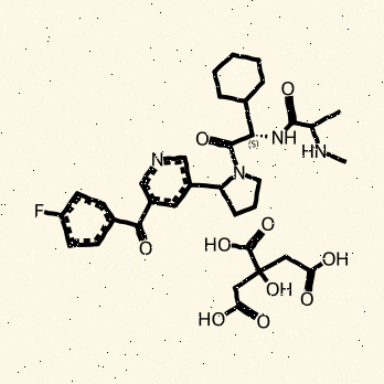 CNC(C)C(=O)N[C@H](C(=O)N1CCCC1c1cncc(C(=O)c2ccc(F)cc2)c1)C1CCCCC1.O=C(O)CC(O)(CC(=O)O)C(=O)O